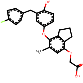 Cc1cc(OCC(=O)O)c2c(c1Oc1ccc(O)c(Cc3ccc(F)cc3)c1)CCC2